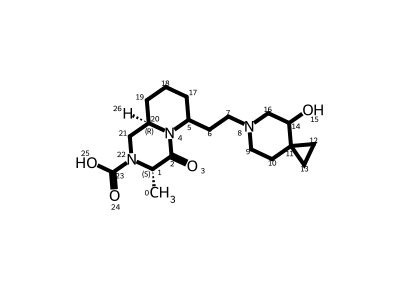 C[C@H]1C(=O)N2C(CCN3CCC4(CC4)C(O)C3)CCC[C@@H]2CN1C(=O)O